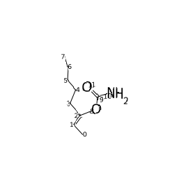 CC=C(CCCCC)OC(N)=O